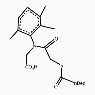 CCCCCCCCCCC(=O)SCC(=O)N(CC(=O)O)c1c(C)ccc(C)c1C